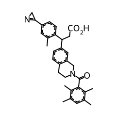 Cc1cc(C2=NC2)ccc1C(CC(=O)O)c1ccc2c(c1)CN(C(=O)c1c(C)c(C)cc(C)c1C)CC2